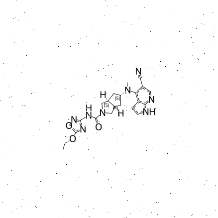 CCOc1nc(NC(=O)N2C[C@H]3C[C@H](N(C)c4c(C#N)cnc5[nH]ccc45)C[C@H]3C2)no1